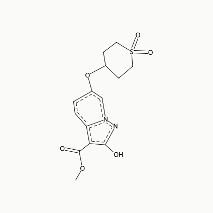 COC(=O)c1c(O)nn2cc(OC3CCS(=O)(=O)CC3)ccc12